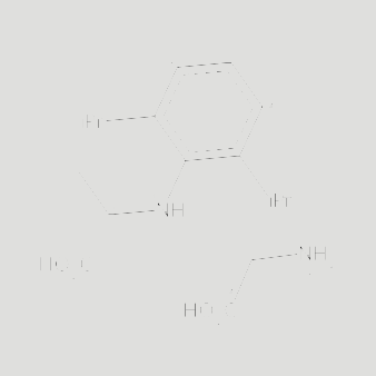 CC(C)c1cccc(C(C)C)c1N[C@@H](C)C(=O)O.NCC(=O)O